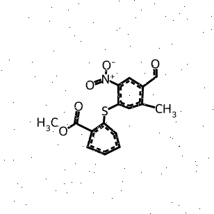 COC(=O)c1ccccc1Sc1cc(C)c(C=O)cc1[N+](=O)[O-]